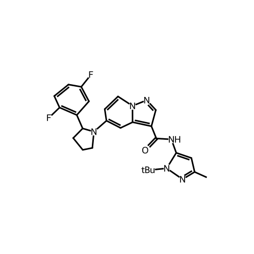 Cc1cc(NC(=O)c2cnn3ccc(N4CCCC4c4cc(F)ccc4F)cc23)n(C(C)(C)C)n1